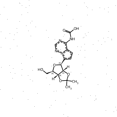 CC1(C)O[C@@H]2[C@H](O1)[C@@H](CO)O[C@H]2c1ccc2c(NC(=O)O)ncnn12